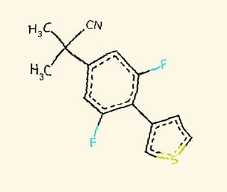 CC(C)(C#N)c1cc(F)c(-c2ccsc2)c(F)c1